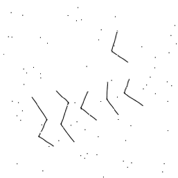 CCC.CCC.CCC.CCC.CCCC.CCCC